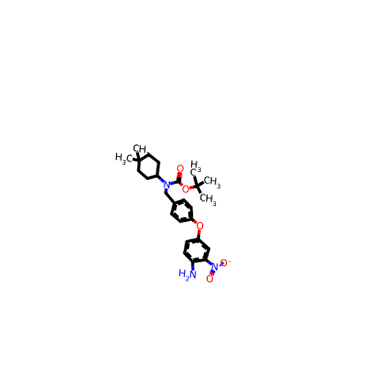 CC1(C)CCC(N(Cc2ccc(Oc3ccc(N)c([N+](=O)[O-])c3)cc2)C(=O)OC(C)(C)C)CC1